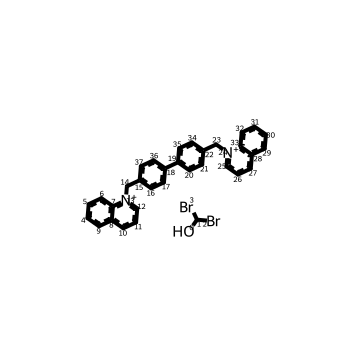 OC(Br)Br.c1ccc2c(c1)ccc[n+]2Cc1ccc(-c2ccc(C[n+]3cccc4ccccc43)cc2)cc1